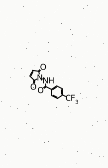 O=C(NN1C(=O)C=CC1=O)c1ccc(C(F)(F)F)cc1